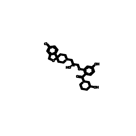 O=C(c1ccc(O)cc1OC[C@H](O)CN1CCC2(CC1)OCc1cc(Cl)ccc12)N1CCCC(O)C1